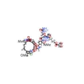 CNC(=O)c1cc(C(=O)N(C)[C@@H](C)C(=O)O[C@H]2CC(=O)N(C)c3cc(cc(OC)c3Cl)C/C(C)=C/C=C/[C@@H](OC)[C@@]3(O)C[C@H](OC(=O)N3)[C@@H](C)[C@@H]3O[C@@]23C)ccc1NC(=O)[C@H](CCCNC(N)=O)NC(=O)[C@@H](NC(=O)CCCCCOC(=O)C(CBr)CBr)C(C)C